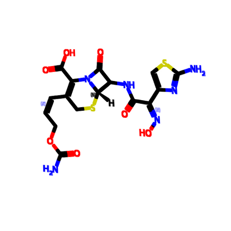 NC(=O)OC/C=C\C1=C(C(=O)O)N2C(=O)C(NC(=O)/C(=N\O)c3csc(N)n3)[C@@H]2SC1